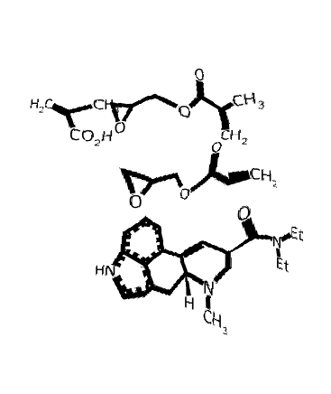 C=C(C)C(=O)O.C=C(C)C(=O)OCC1CO1.C=CC(=O)OCC1CO1.CCN(CC)C(=O)[C@@H]1C=C2c3cccc4[nH]cc(c34)C[C@H]2N(C)C1